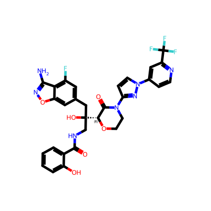 Nc1noc2cc(CC(O)(CNC(=O)c3ccccc3O)[C@H]3OCCN(c4ccn(-c5ccnc(C(F)(F)F)c5)n4)C3=O)cc(F)c12